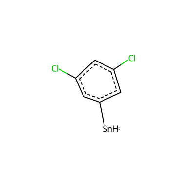 Clc1cc(Cl)c[c]([SnH])c1